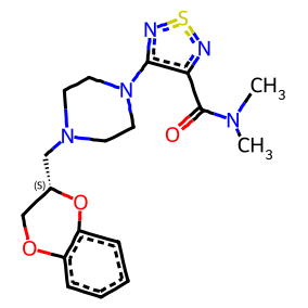 CN(C)C(=O)c1nsnc1N1CCN(C[C@H]2COc3ccccc3O2)CC1